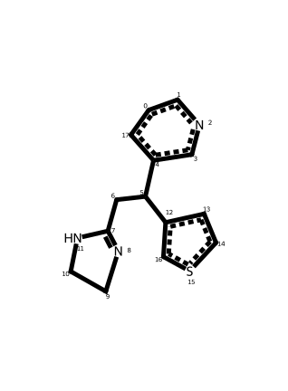 c1cncc(C(CC2=NCCN2)c2ccsc2)c1